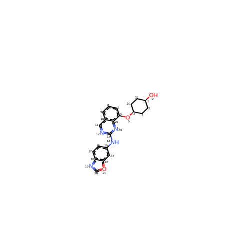 O[C@H]1CC[C@@H](Oc2cccc3cnc(Nc4ccc5ncoc5c4)nc23)CC1